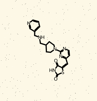 O=C1NC(=O)/C(=C\c2ccnc(N3CCC(CNCc4cccnc4)CC3)n2)S1